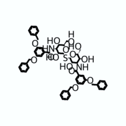 O=C(N[C@@H]1[C@@H](O)[C@@H](CO)O[C@@H](S[C@@H]2O[C@H](CO)[C@H](O)[C@@H](NC(=O)c3cc(OCc4ccccc4)cc(OCc4ccccc4)c3)[C@H]2O)[C@@H]1O)c1cc(OCc2ccccc2)cc(OCc2ccccc2)c1